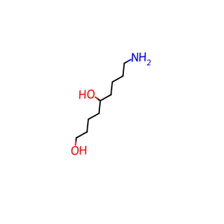 NCCCCC(O)CCCCO